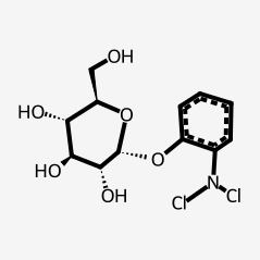 OC[C@H]1O[C@H](Oc2ccccc2N(Cl)Cl)[C@H](O)[C@@H](O)[C@@H]1O